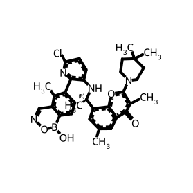 Cc1cc([C@@H](C)Nc2ccc(Cl)nc2-c2ccc3c(c2C)C=NOB3O)c2oc(N3CCC(C)(C)CC3)c(C)c(=O)c2c1